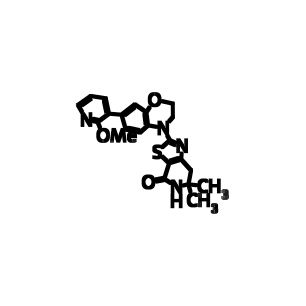 COc1ncccc1-c1ccc2c(c1)OCCN2c1nc2c(s1)C(=O)NC(C)(C)C2